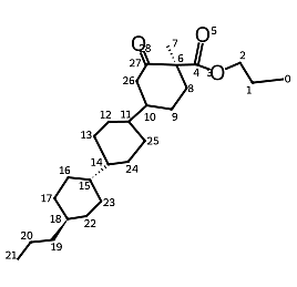 CCCOC(=O)[C@@]1(C)CCC(C2CCC([C@H]3CC[C@H](CCC)CC3)CC2)CC1=O